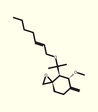 C=C1CC[C@]2(CO2)[C@@H](C(C)(C)OC/C=C/CCCC)[C@@H]1OC